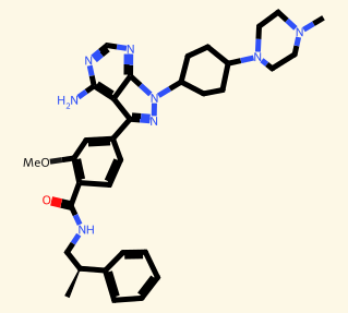 COc1cc(-c2nn(C3CCC(N4CCN(C)CC4)CC3)c3ncnc(N)c23)ccc1C(=O)NC[C@H](C)c1ccccc1